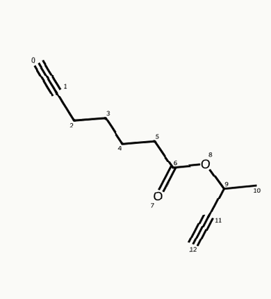 C#CCCCCC(=O)OC(C)C#C